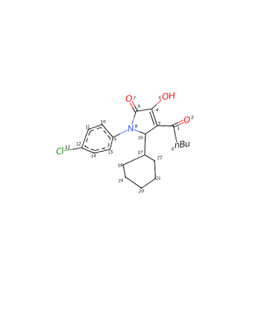 CCCCC(=O)C1=C(O)C(=O)N(c2ccc(Cl)cc2)C1C1CCCCC1